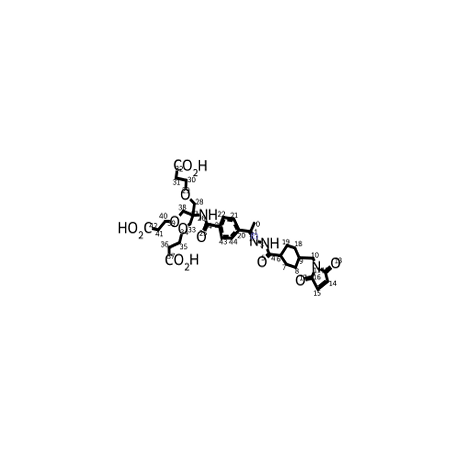 C/C(=N\NC(=O)C1CCC(CN2C(=O)C=CC2=O)CC1)c1ccc(C(=O)NC(COCCC(=O)O)(COCCC(=O)O)COCCC(=O)O)cc1